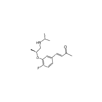 CC(=O)/C=C/c1ccc(F)c(O[C@@H](C)CNC(C)C)c1